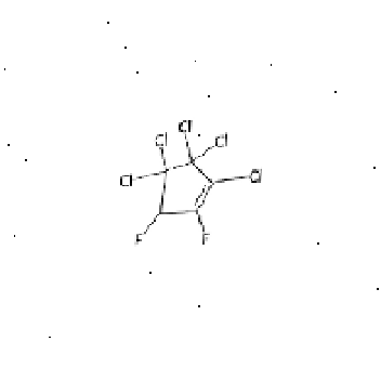 FC1=C(Cl)C(Cl)(Cl)C(Cl)(Cl)C1F